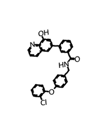 O=C(NCc1ccc(Oc2ccccc2Cl)cc1)c1cccc(-c2cc(O)c3ncccc3c2)c1